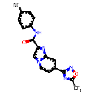 N#Cc1ccc(NC(=O)c2cn3ccc(-c4noc(C(F)(F)F)n4)cc3n2)cc1